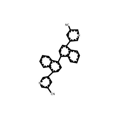 N#Cc1cncc(-c2ccc(-c3ccc(-c4cncc(C#N)c4)c4ccccc34)c3ccccc23)c1